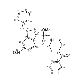 COC(CN1CCC(C(=O)c2ccccc2)CC1)(c1cn(Cc2ccccc2)c2cc([N+](=O)[O-])ccc12)C(F)(F)F